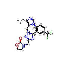 Cc1ncn2c1Cn1nc(CN3CCOC3=O)nc1-c1cc(C(F)F)ccc1-2